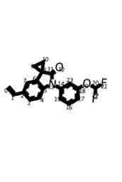 C=Cc1ccc2c(c1)C1(CC1)C(=O)N2c1cccc(OC(F)F)c1